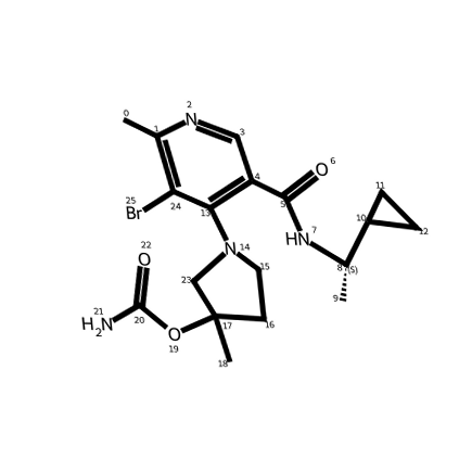 Cc1ncc(C(=O)N[C@@H](C)C2CC2)c(N2CCC(C)(OC(N)=O)C2)c1Br